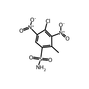 Cc1c(S(N)(=O)=O)cc([N+](=O)[O-])c(Cl)c1[N+](=O)[O-]